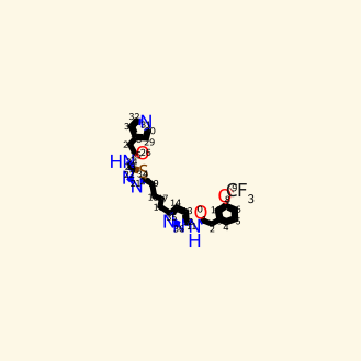 O=C(Cc1cccc(OC(F)(F)F)c1)Nc1ccc(CCCCc2nnc(NC(=O)Cc3ccncc3)s2)nn1